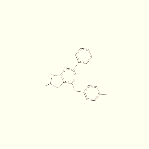 CC1Cc2c(Nc3ccc(O)cc3)nc(-c3ccccc3)nc2N1